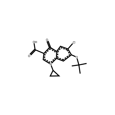 CC(C)(C)Oc1cc2c(cc1Cl)c(=O)c(C(=O)O)cn2C1CC1